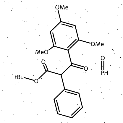 COc1cc(OC)c(C(=O)C(C(=O)OC(C)(C)C)c2ccccc2)c(OC)c1.O=P